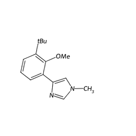 COc1c(-c2cn(C)cn2)cccc1C(C)(C)C